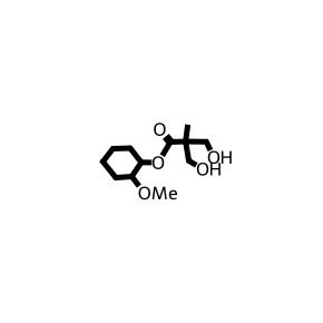 COC1CCCCC1OC(=O)C(C)(CO)CO